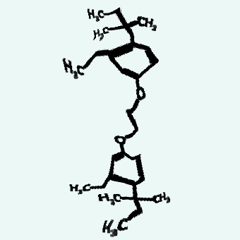 CCc1cc(OCCOc2ccc(C(C)(C)CC)c(CC)c2)ccc1C(C)(C)CC